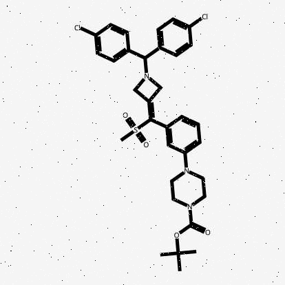 CC(C)(C)OC(=O)N1CCN(c2cccc(C(=C3CN(C(c4ccc(Cl)cc4)c4ccc(Cl)cc4)C3)S(C)(=O)=O)c2)CC1